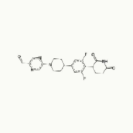 O=Cc1cnc(N2CCC(c3cc(F)c(C4CCC(=O)NC4=O)c(F)c3)CC2)cn1